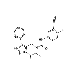 CC1c2n[nH]c(-c3ncccn3)c2CN(C(=O)Nc2ccc(F)c(C#N)c2)C1C